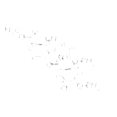 COC(=O)c1cccc(C2CCCN2C(=O)c2cc(Cl)c(OP)cc2OP)c1C